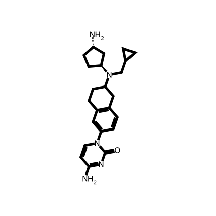 Nc1ccn(-c2ccc3c(c2)CCC(N(CC2CC2)[C@H]2CC[C@H](N)C2)C3)c(=O)n1